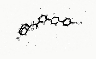 C[C@@H]1CN(c2ccc(C(=O)O)nc2)CCN1c1cccc(C(=O)N[C@H]2C3CC4CC2C[C@](O)(C4)C3)n1